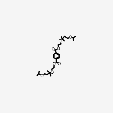 CC(C)OCCC(C)(C)OCCOC(=O)c1ccc(C(=O)OCCOC(C)(C)CCOC(C)C)cc1